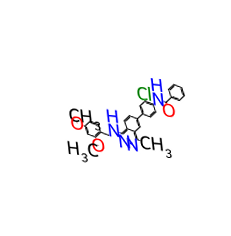 COc1ccc(CNc2nnc(C)c3cc(-c4ccc(NC(=O)c5ccccc5)c(Cl)c4)ccc23)c(OC)c1